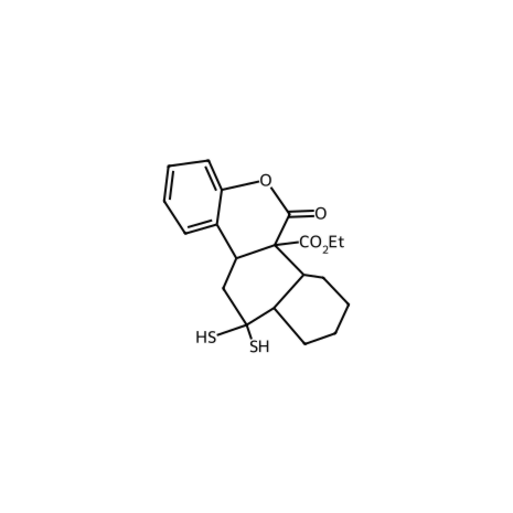 CCOC(=O)C12C(=O)Oc3ccccc3C1CC(S)(S)C1CCCCC12